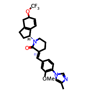 COc1cc(/C=C2\CCCN([C@@H]3CCC4=C3C=CC(OC(F)(F)F)C4)C2=O)ccc1-n1cnc(C)c1